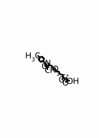 Cc1ccc(-c2nc(CCOCCCC[S+]([O-])CC(=O)O)c(C)o2)cc1